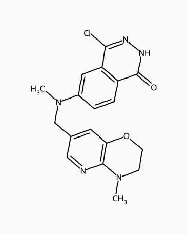 CN(Cc1cnc2c(c1)OCCN2C)c1ccc2c(=O)[nH]nc(Cl)c2c1